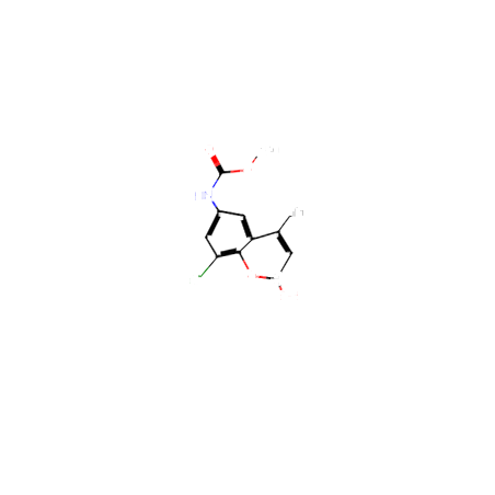 CC(C)C1=CB(O)Oc2c(Cl)cc(NC(=O)OC(C)(C)C)cc21